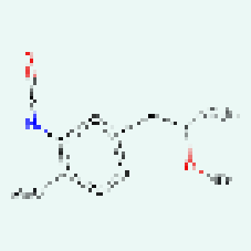 CCOC(=O)C(Cc1ccc(OC)c(N=C=O)c1)OC(C)C